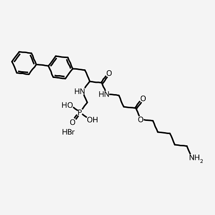 Br.NCCCCCOC(=O)CCNC(=O)C(Cc1ccc(-c2ccccc2)cc1)NCP(=O)(O)O